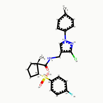 C[C@]1(C(=O)NCc2cn(-c3ccc(C(F)(F)F)cc3)nc2Cl)CCC[C@H]1S(=O)(=O)c1ccc(F)cc1